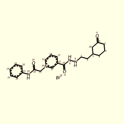 O=C1CCCC(CCNNC(=O)c2ccc[n+](CC(=O)Nc3ccccc3)c2)C1.[Br-]